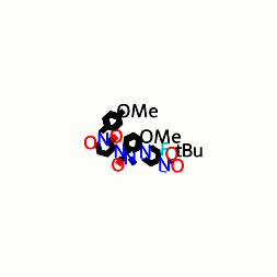 COc1ccc(CN2C(=O)CCC(n3c(=O)n(C)c4c(N5CCC(N(C)C(=O)OC(C)(C)C)C(F)C5)c(OC)ccc43)C2=O)cc1